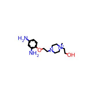 C[N+]1(CCO)CCN(CCOc2ccc(N)cc2N)CC1